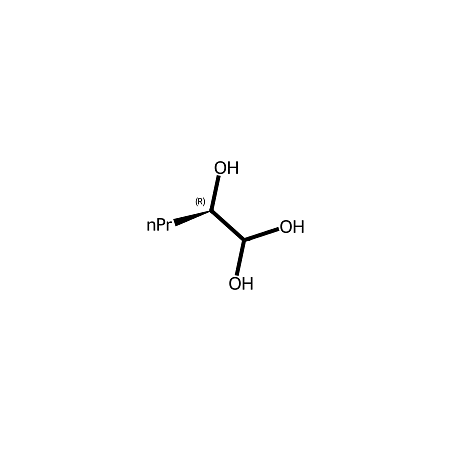 CCC[C@@H](O)[C](O)O